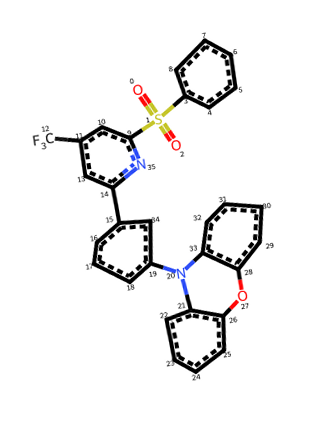 O=S(=O)(c1ccccc1)c1cc(C(F)(F)F)cc(-c2cccc(N3c4ccccc4Oc4ccccc43)c2)n1